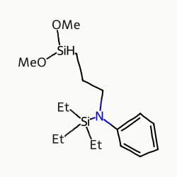 CC[Si](CC)(CC)N(CCC[SiH](OC)OC)c1ccccc1